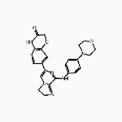 O=C1COc2cc(C3=CN4CCN=C4C(Nc4ccc(N5CCOCC5)cc4)=N3)cnc2N1